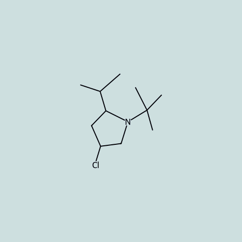 CC(C)C1CC(Cl)CN1C(C)(C)C